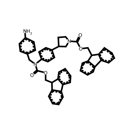 Nc1ccc(CN(C(=O)OCC2c3ccccc3-c3ccccc32)c2ccc(C3CCN(C(=O)OCC4c5ccccc5-c5ccccc54)C3)cc2)cc1